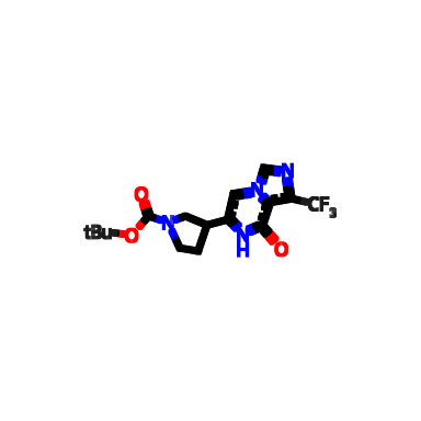 CC(C)(C)OC(=O)N1CCC(c2cn3cnc(C(F)(F)F)c3c(=O)[nH]2)C1